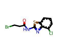 O=C(CCBr)Nc1nc2c(Cl)cccc2s1